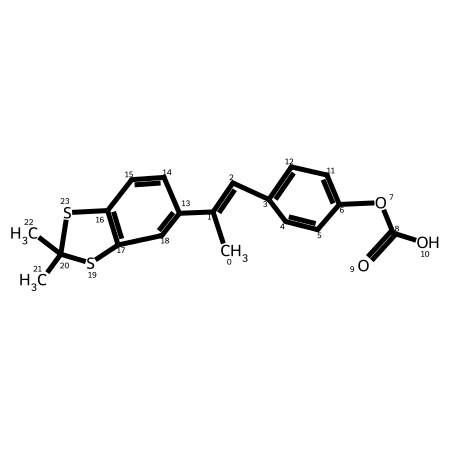 CC(=Cc1ccc(OC(=O)O)cc1)c1ccc2c(c1)SC(C)(C)S2